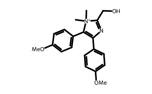 COc1ccc(C2=C(c3ccc(OC)cc3)[N+](C)(C)C(CO)=N2)cc1